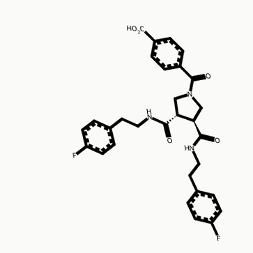 O=C(O)c1ccc(C(=O)N2C[C@@H](C(=O)NCCc3ccc(F)cc3)[C@H](C(=O)NCCc3ccc(F)cc3)C2)cc1